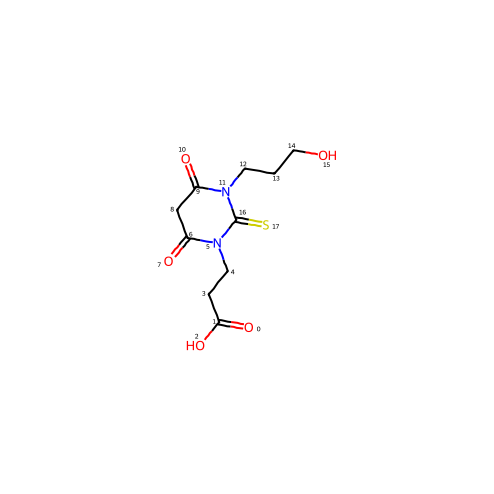 O=C(O)CCN1C(=O)CC(=O)N(CCCO)C1=S